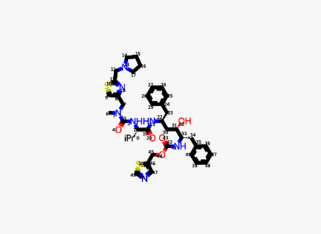 CC(C)[C@H](NC(=O)N(C)Cc1csc(CN2CCCC2)n1)C(=O)N[C@@H](Cc1ccccc1)C[C@H](O)[C@H](Cc1ccccc1)NC(=O)OCc1cncs1